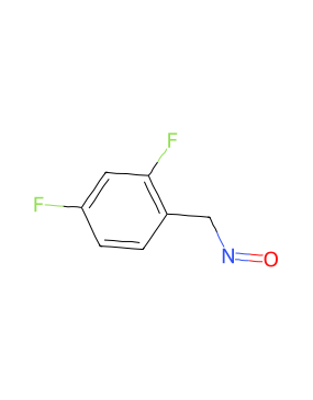 O=NCc1ccc(F)cc1F